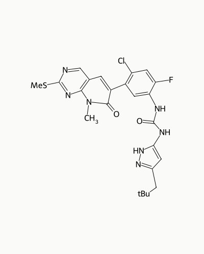 CSc1ncc2cc(-c3cc(NC(=O)Nc4cc(CC(C)(C)C)n[nH]4)c(F)cc3Cl)c(=O)n(C)c2n1